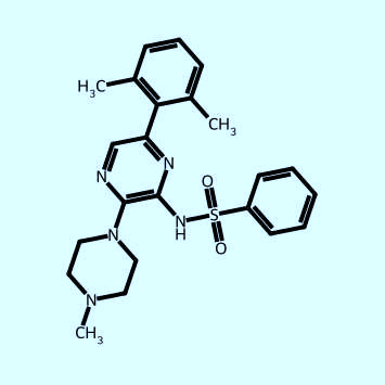 Cc1cccc(C)c1-c1cnc(N2CCN(C)CC2)c(NS(=O)(=O)c2ccccc2)n1